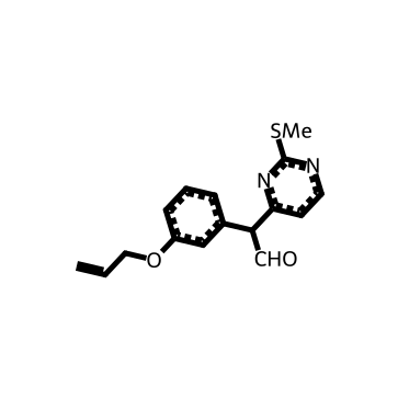 C=CCOc1cccc(C(C=O)c2ccnc(SC)n2)c1